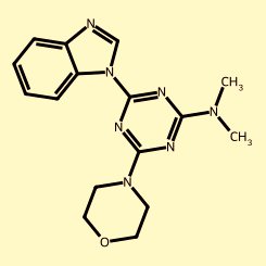 CN(C)c1nc(N2CCOCC2)nc(-n2cnc3ccccc32)n1